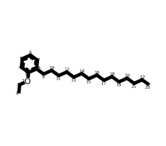 C[CH]Oc1ccccc1CCCCCCCCCCCCCCC